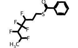 CC(F)C(F)C(F)(F)C(F)CCSC(=O)c1ccccc1